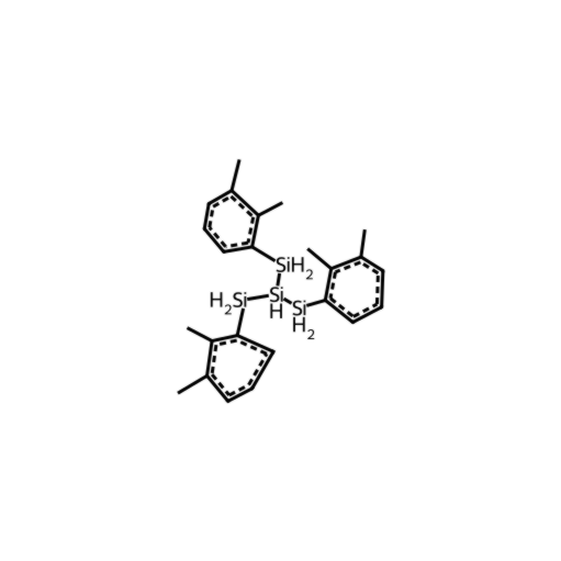 Cc1cccc([SiH2][SiH]([SiH2]c2cccc(C)c2C)[SiH2]c2cccc(C)c2C)c1C